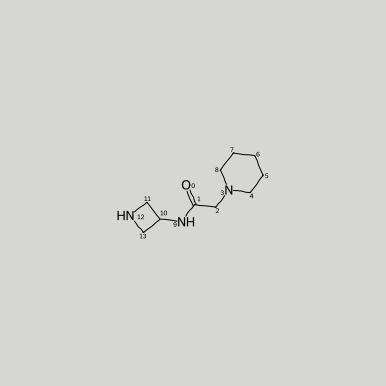 O=C(CN1CCCCC1)NC1CNC1